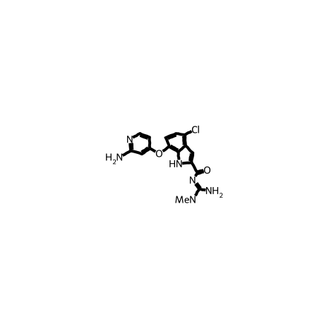 CNC(N)=NC(=O)c1cc2c(Cl)ccc(Oc3ccnc(N)c3)c2[nH]1